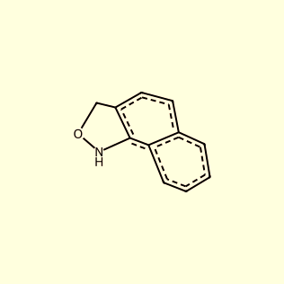 c1ccc2c3c(ccc2c1)CON3